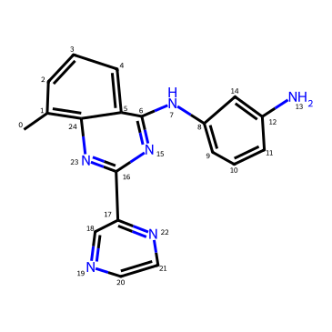 Cc1cccc2c(Nc3cccc(N)c3)nc(-c3cnccn3)nc12